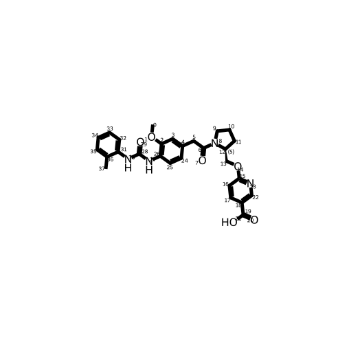 COc1cc(CC(=O)N2CCC[C@H]2COc2ccc(C(=O)O)cn2)ccc1NC(=O)Nc1ccccc1C